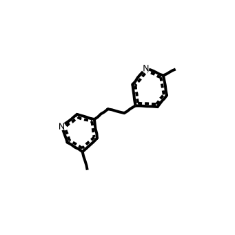 Cc1cncc(CCc2ccc(C)nc2)c1